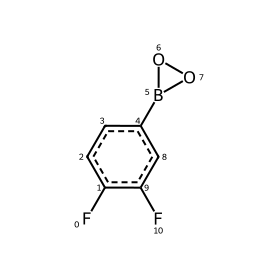 Fc1ccc(B2OO2)cc1F